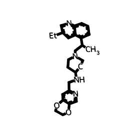 CCc1cnc2cccc(C(C)CN3CCC(NCc4cc5c(cn4)OCCO5)CC3)c2c1